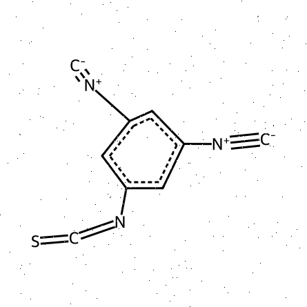 [C-]#[N+]c1cc(N=C=S)cc([N+]#[C-])c1